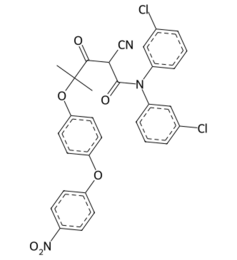 CC(C)(Oc1ccc(Oc2ccc([N+](=O)[O-])cc2)cc1)C(=O)C(C#N)C(=O)N(c1cccc(Cl)c1)c1cccc(Cl)c1